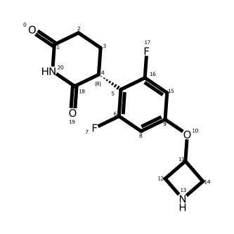 O=C1CC[C@H](c2c(F)cc(OC3CNC3)cc2F)C(=O)N1